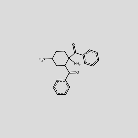 NC1CCC(N)(C(=O)c2ccccc2)C(C(=O)c2ccccc2)C1